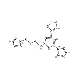 c1csc(-c2nc(NCCCn3ccnc3)cc(-n3cccn3)n2)c1